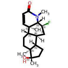 CN1C(=O)C=C[C@]2(C)[C@H]3CC[C@@]4(C)[C@@H](CC[C@]4(C)O)[C@@H]3C[C@H](F)[C@@H]12